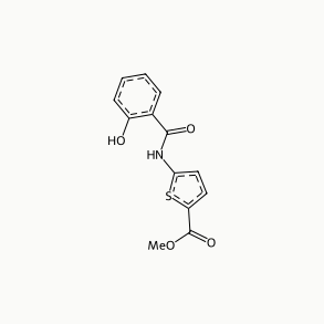 COC(=O)c1ccc(NC(=O)c2ccccc2O)s1